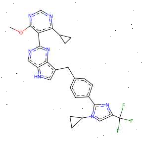 COc1ncnc(C2CC2)c1-c1ncc2[nH]cc(Cc3ccc(-c4nc(C(F)(F)F)cn4C4CC4)cc3)c2n1